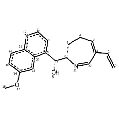 C=CC1=CCC[C@@H]([C@H](O)c2ccnc3ccc(OC)cc23)N=C1